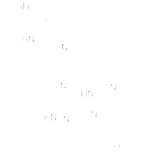 CC(C)CC(=O)Nc1cncc(-c2ccc3[nH]nc(-c4nc5c(-c6ccoc6)ccnc5[nH]4)c3n2)c1